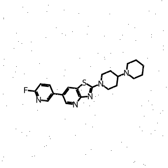 Fc1ccc(-c2cnc3nc(N4CCC(N5CCCCC5)CC4)sc3c2)cn1